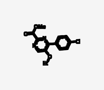 CCOc1cnc(C(=O)OC)nc1-c1ccc(Cl)cc1